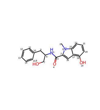 Cn1c(C(=O)NC(CO)Cc2ccccc2)cc2c(O)cccc21